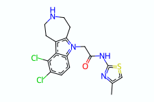 Cc1csc(NC(=O)Cn2c3c(c4c(Cl)c(Cl)ccc42)CCNCC3)n1